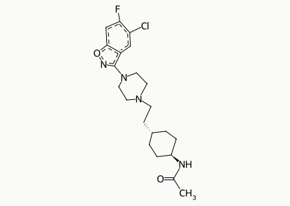 CC(=O)N[C@H]1CC[C@H](CCN2CCN(c3noc4cc(F)c(Cl)cc34)CC2)CC1